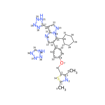 Cc1nc(C)c(COc2ccc(-c3cnc4c(-c5nnn[nH]5)cnn4c3C3CCCCC3)cc2)s1.c1nnn[nH]1